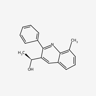 Cc1cccc2cc([C@H](C)O)c(-c3ccccc3)nc12